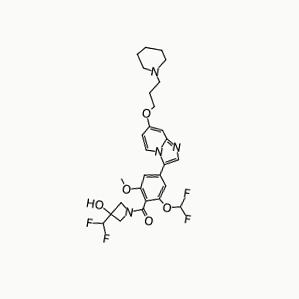 COc1cc(-c2cnc3cc(OCCCN4CCCCC4)ccn23)cc(OC(F)F)c1C(=O)N1CC(O)(C(F)F)C1